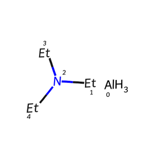 [AlH3].[CH2]CN(CC)CC